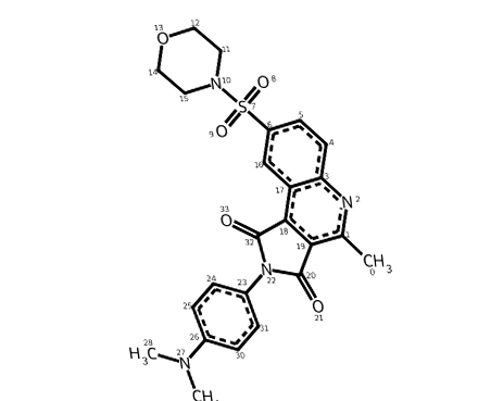 Cc1nc2ccc(S(=O)(=O)N3CCOCC3)cc2c2c1C(=O)N(c1ccc(N(C)C)cc1)C2=O